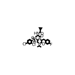 CC(C)N1CC2N(C(=O)C(NC(=O)C3CC3)CN2S(=O)(=O)c2ccc(Cl)cc2Cl)C(Cc2ccc(F)cc2)C1=O